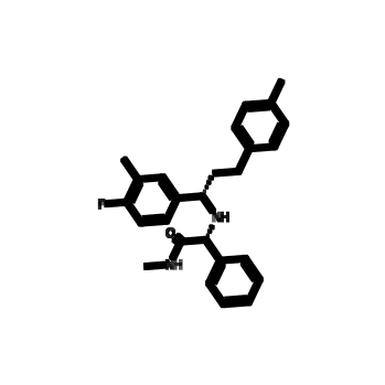 CNC(=O)[C@H](N[C@@H](CCc1ccc(C)cc1)c1ccc(F)c(C)c1)c1ccccc1